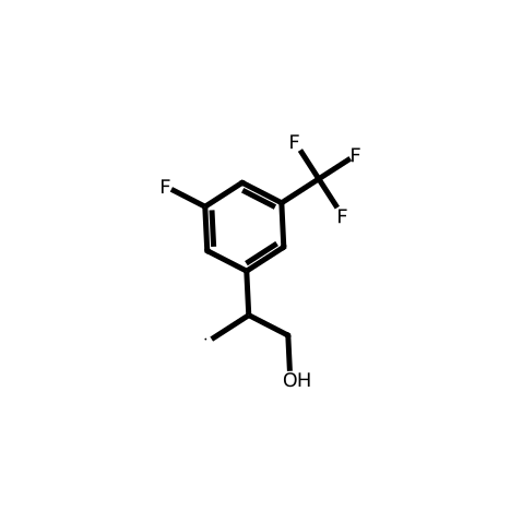 [CH2]C(CO)c1cc(F)cc(C(F)(F)F)c1